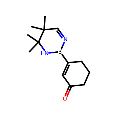 CC1(C)C=NB(C2=CC(=O)CCC2)NC1(C)C